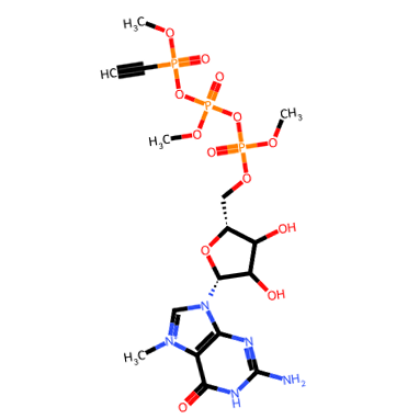 C#CP(=O)(OC)OP(=O)(OC)OP(=O)(OC)OC[C@H]1O[C@@H](n2c[n+](C)c3c(=O)[nH]c(N)nc32)C(O)C1O